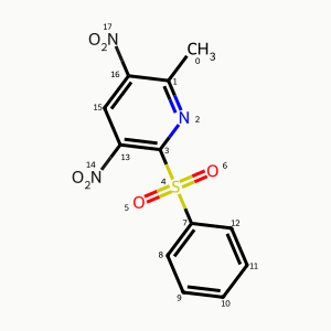 Cc1nc(S(=O)(=O)c2ccccc2)c([N+](=O)[O-])cc1[N+](=O)[O-]